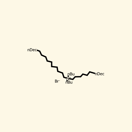 CCCCCCCCCCCCCCCCCCCC[N+](CCCC)(CCCC)CCCCCCCCCCCCCCCC.[Br-]